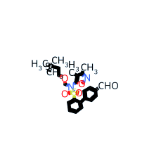 Cc1noc(N(COCC[Si](C)(C)C)S(=O)(=O)c2ccccc2-c2ccc(C=O)cc2)c1C